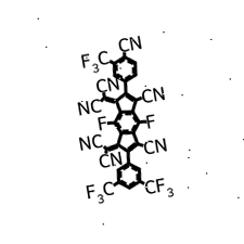 N#CC(C#N)=C1C(c2cc(C(F)(F)F)cc(C(F)(F)F)c2)=C(C#N)c2c(F)c3c(c(F)c21)C(=C(C#N)C#N)C(c1ccc(C#N)c(C(F)(F)F)c1)=C3C#N